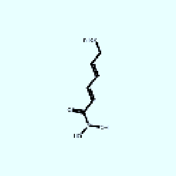 CCCCCCCC=CC=CC(=O)N(O)O